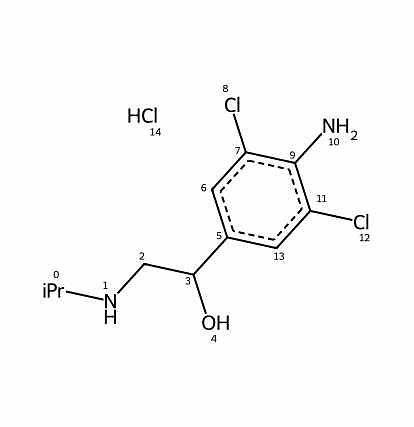 CC(C)NCC(O)c1cc(Cl)c(N)c(Cl)c1.Cl